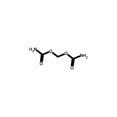 NC(=O)OCOC(N)=O